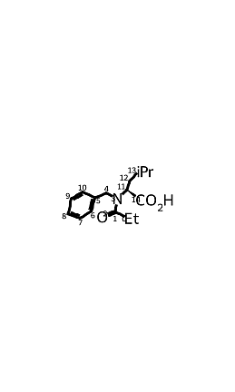 CCC(=O)N(Cc1ccccc1)[C@@H](CC(C)C)C(=O)O